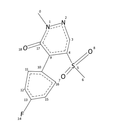 Cn1ncc(S(C)(=O)=O)c(-c2ccc(F)cc2)c1=O